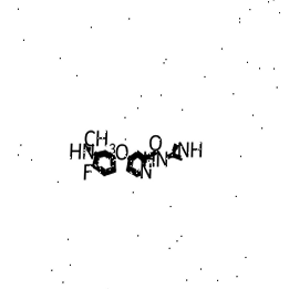 CNc1cc(Oc2ccnc(C(=O)NC3CNC3)c2)ccc1F